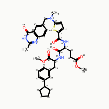 Cc1nc2ccc(CN(C)c3ccc(C(=O)N[C@@H](CCC(=O)OC(C)(C)C)C(=O)N[C@@H](Cc4cccc(C5CCCC5)c4)C(=O)OC(C)(C)C)s3)cc2c(=O)[nH]1